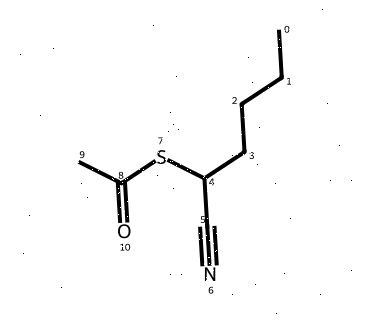 CCCCC(C#N)SC(C)=O